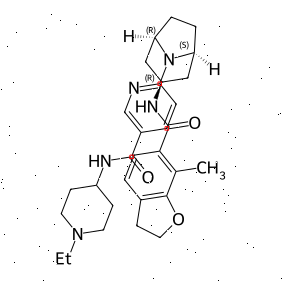 CCN1CCC(NC(=O)c2ccc(N3[C@@H]4CC[C@H]3C[C@@H](NC(=O)c3ccc5c(c3C)OCC5)C4)nc2)CC1